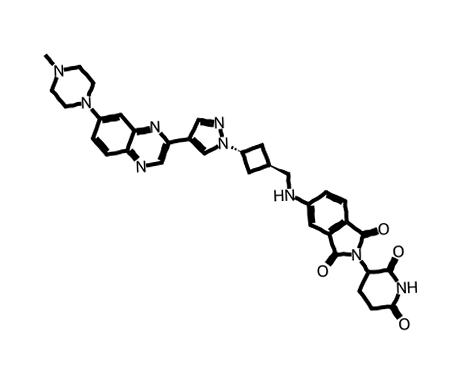 CN1CCN(c2ccc3ncc(-c4cnn([C@H]5C[C@H](CNc6ccc7c(c6)C(=O)N(C6CCC(=O)NC6=O)C7=O)C5)c4)nc3c2)CC1